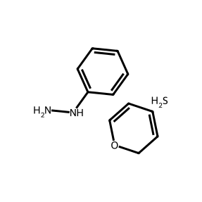 C1=CCOC=C1.NNc1ccccc1.S